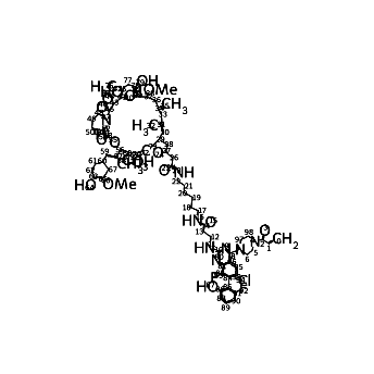 C=CC(=O)N1CCN(c2nc(NCCC(=O)NCCCCCCNC(=O)CCC[C@@H]3/C=C(\C)C[C@H](C)C[C@H](OC)[C@H]4O[C@@](O)(C(=O)C(=O)N5CCCC[C@H]5C(=O)O[C@H](/C(C)=C/[C@@H]5CC[C@@H](O)[C@H](OC)C5)[C@H](C)[C@@H](O)CC3=O)[C@H](C)C[C@@H]4O)nc3c(F)c(-c4c(O)cccc4F)c(Cl)cc23)CC1